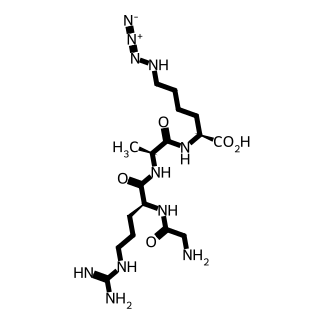 C[C@H](NC(=O)[C@H](CCCNC(=N)N)NC(=O)CN)C(=O)N[C@@H](CCCCNN=[N+]=[N-])C(=O)O